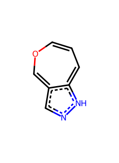 C1=COC=c2cn[nH]c2=C1